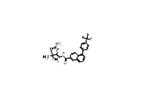 CC(C)(C)C(CNC(=O)c1ccc2c(-c3ccc(C(F)(F)F)cc3)cccc2c1)OC(N)=O